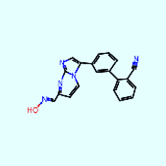 N#Cc1ccccc1-c1cccc(-c2cnc3nc(C=NO)ccn23)c1